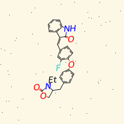 CCN1C(=O)OCC1Cc1ccc(Oc2ccc(/C=C3\C(=O)Nc4ccccc43)cc2F)cc1